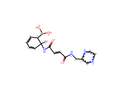 CCC1(NC(=O)/C=C/C(=O)NCc2cnccn2)C=CC=CC1B(O)O